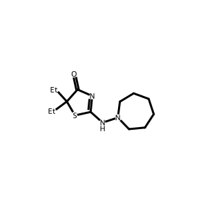 CCC1(CC)SC(NN2CCCCCC2)=NC1=O